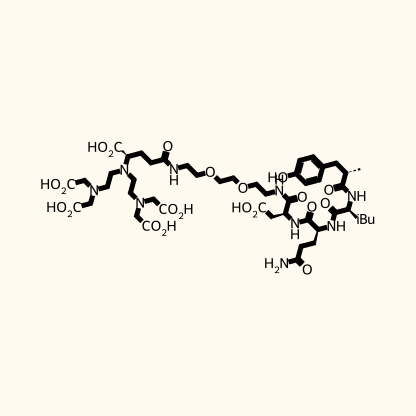 CCC(C)[C@H](NC(=O)[C@@H](C)Cc1ccc(O)cc1)C(=O)N[C@@H](CCC(N)=O)C(=O)N[C@@H](CC(=O)O)C(=O)NCCOCCOCCNC(=O)CC[C@@H](C(=O)O)N(CCN(CC(=O)O)CC(=O)O)CCN(CC(=O)O)CC(=O)O